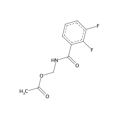 CC(=O)OCNC(=O)c1cccc(F)c1F